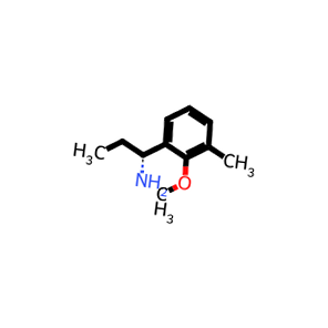 CC[C@@H](N)c1cccc(C)c1OC